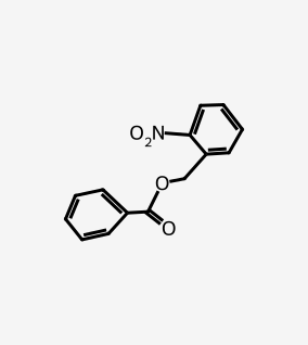 O=C(OCc1ccccc1[N+](=O)[O-])c1ccccc1